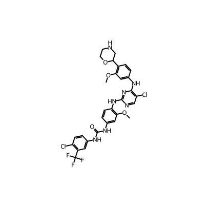 COc1cc(NC(=O)Nc2ccc(Cl)c(C(F)(F)F)c2)ccc1Nc1ncc(Cl)c(Nc2ccc(C3CNCCO3)c(OC)c2)n1